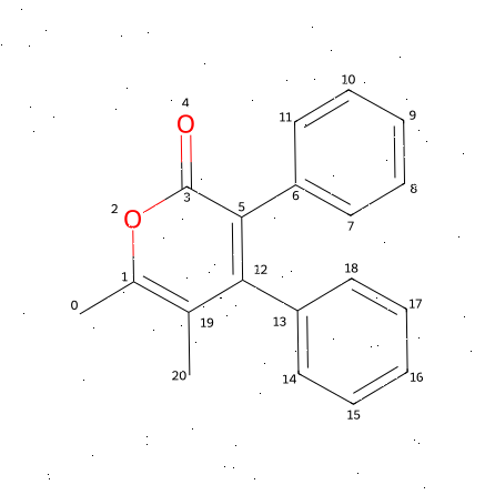 Cc1oc(=O)c(-c2ccccc2)c(-c2ccccc2)c1C